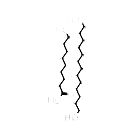 CCCCCCCCCC(=O)O.CCCCCCCCCCCCCCO